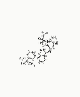 CC(C)(O)c1ccnc(-c2cccc3cc([C@H](NS(=O)(=O)C4CC4)c4nc(N)c(F)cc4Cl)sc23)c1